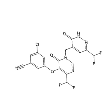 N#Cc1cc(Cl)cc(Oc2c(C(F)F)ccn(Cc3cc(C(F)F)n[nH]c3=O)c2=O)c1